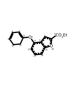 CCOC(=O)c1cc2c(OC3=CC=CCC3)cccc2o1